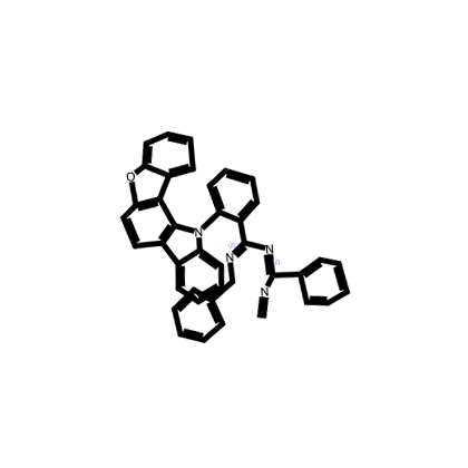 C=N/C(=N\C(=N/Cc1ccccc1)c1ccccc1-n1c2ccccc2c2ccc3oc4ccccc4c3c21)c1ccccc1